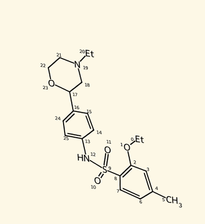 CCOc1cc(C)ccc1S(=O)(=O)Nc1ccc(C2CN(CC)CCO2)cc1